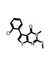 CSc1nc2scc(-c3ccccc3Cl)c2c(=O)n1C